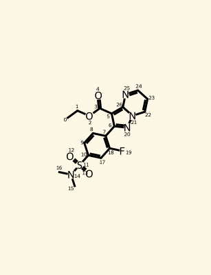 CCOC(=O)c1c(-c2ccc(S(=O)(=O)N(C)C)cc2F)nn2cccnc12